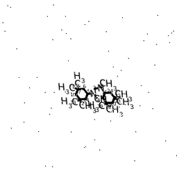 CN(CN(C)C1CC(C)(C)CC(C)(C)C1)C1CC(C)(C)CC(C)(C)C1